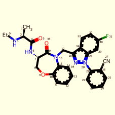 CCN[C@@H](C)C(=O)N[C@H]1COc2ccccc2N(Cc2nn(-c3ccccc3C#N)c3cc(F)ccc23)C1=O